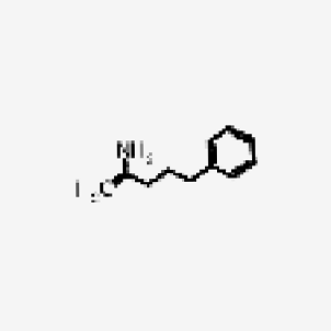 C=C(N)CCCc1ccccc1